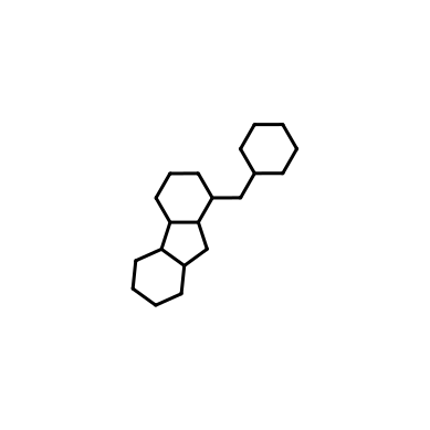 C1CCC(CC2CCCC3C4CCCCC4CC23)CC1